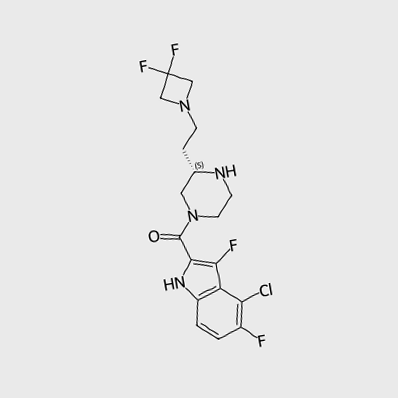 O=C(c1[nH]c2ccc(F)c(Cl)c2c1F)N1CCN[C@@H](CCN2CC(F)(F)C2)C1